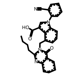 CCCCc1nc2ccccc2c(=O)n1Cc1cccc2c1c(C(=O)O)cn2-c1ccccc1C#N